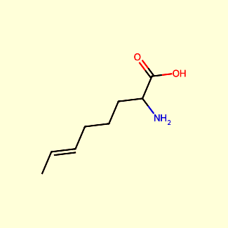 CC=CCCCC(N)C(=O)O